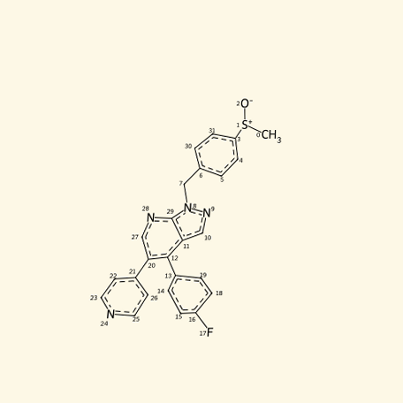 C[S+]([O-])c1ccc(Cn2ncc3c(-c4ccc(F)cc4)c(-c4ccncc4)cnc32)cc1